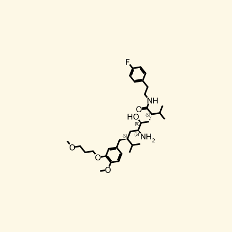 COCCCOc1cc(C[C@@H](C[C@H](N)[C@@H](O)C[C@H](C(=O)NCCc2ccc(F)cc2)C(C)C)C(C)C)ccc1OC